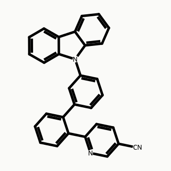 N#Cc1ccc(-c2ccccc2-c2cccc(-n3c4ccccc4c4ccccc43)c2)nc1